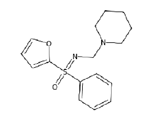 O=S(=NCN1CCCCC1)(c1ccccc1)c1ccco1